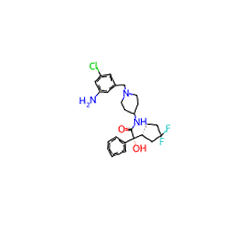 Nc1cc(Cl)cc(CN2CCC(NC(=O)[C@](O)(c3ccccc3)[C@@H]3CCC(F)(F)C3)CC2)c1